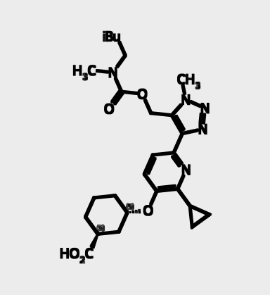 CCC(C)CN(C)C(=O)OCc1c(-c2ccc(O[C@H]3CCC[C@H](C(=O)O)C3)c(C3CC3)n2)nnn1C